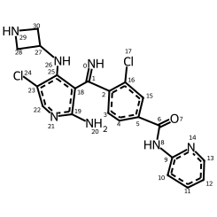 N=C(c1ccc(C(=O)Nc2ccccn2)cc1Cl)c1c(N)ncc(Cl)c1NC1CNC1